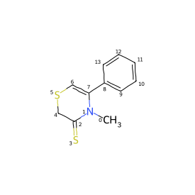 CN1C(=S)CSC=C1c1ccccc1